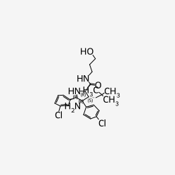 CC(C)(C)C[C@H]1[C@H](C(=O)NCCCO)N[C@H](c2cccc(Cl)c2)[C@]1(N)c1ccc(Cl)cc1